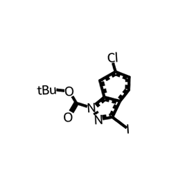 CC(C)(C)OC(=O)n1nc(I)c2ccc(Cl)cc21